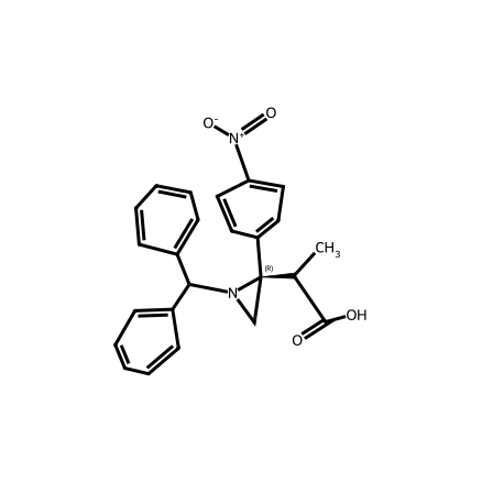 CC(C(=O)O)[C@@]1(c2ccc([N+](=O)[O-])cc2)CN1C(c1ccccc1)c1ccccc1